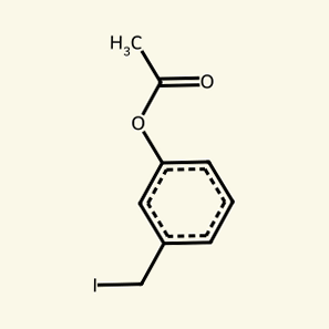 CC(=O)Oc1cccc(CI)c1